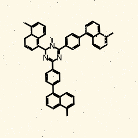 CC1=CC=CC2=C(C3N=C(c4ccc(-c5cccc6c(C)cccc56)cc4)N=C(c4ccc(-c5cccc6c(C)cccc56)cc4)N3C)C=CCC12